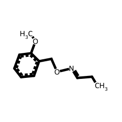 CCC=NOCc1ccccc1OC